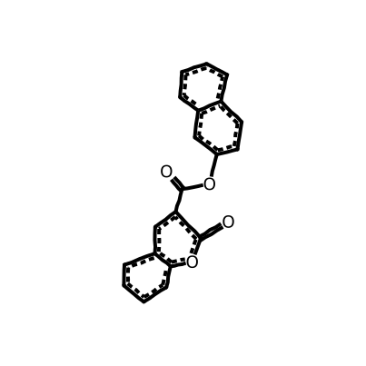 O=C(Oc1ccc2ccccc2c1)c1cc2ccccc2oc1=O